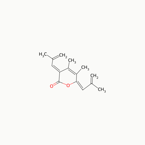 C=C(C)/C=c1/oc(=O)/c(=C/C(=C)C)c(C)c1C